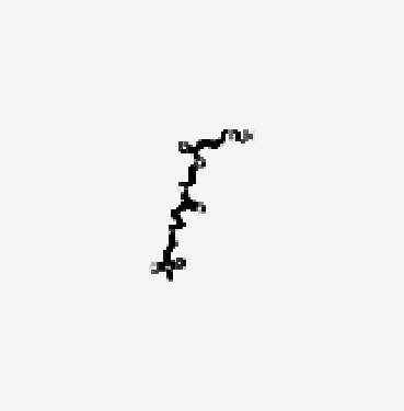 CS(=O)(=O)CCSCCC(=O)OCCOC(=O)CCC(=O)O